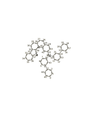 c1ccc(-c2cccc(N(c3cccc(-c4ccccc4)c3)c3ccc4ccc5ccc6c7ccccc7sc6c5c4c3)c2)cc1